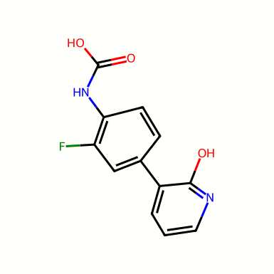 O=C(O)Nc1ccc(-c2cccnc2O)cc1F